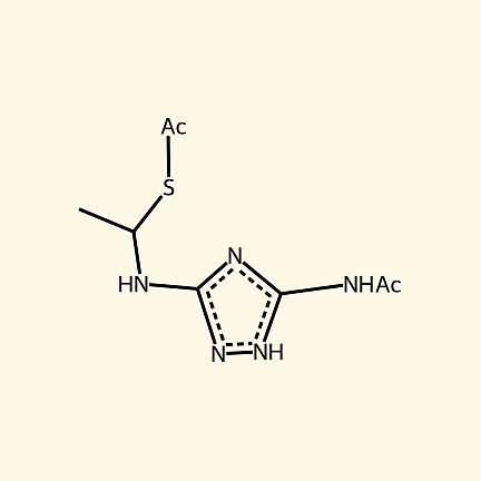 CC(=O)Nc1nc(NC(C)SC(C)=O)n[nH]1